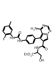 CCOC(=O)C(CO)NC(=O)c1cn2ncnc(N)c2c1-c1ccc(NC(=O)Nc2cc(C)ccc2F)cc1